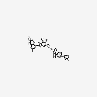 COc1cnc2c(-c3nc4c(Cl)c(F)c(OCCOC(=O)Nc5ccc(-n6cnc(C)n6)nc5)cc4s3)cc(C)cc2n1